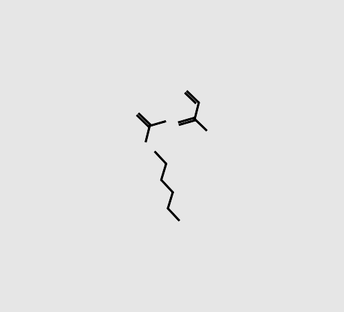 C=C(C)C.C=CC(=C)C.CCCCCC